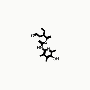 C=C(Nc1nc(C)c(O)c(C)c1C)SC(=C)C(CC)CC=O